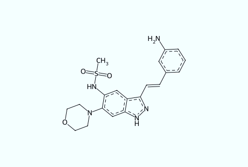 CS(=O)(=O)Nc1cc2c(C=Cc3cccc(N)c3)n[nH]c2cc1N1CCOCC1